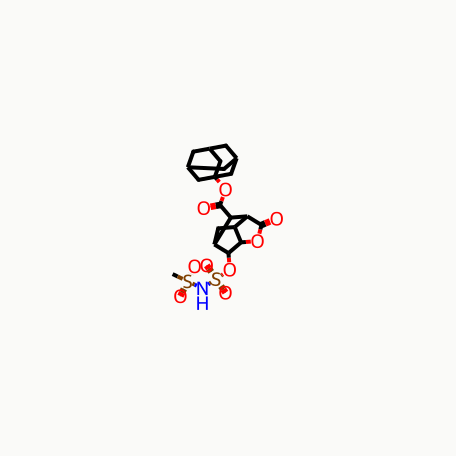 CS(=O)(=O)NS(=O)(=O)OC1C2CC3C1OC(=O)C3C2C(=O)OC12CC3CC(CC(C3)C1)C2